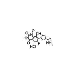 Cc1c(N2CC[C@@H](C3(N)CC3)C2)c(F)cc2c(=O)[nH]c(=O)n(C3CC3)c12.Cl